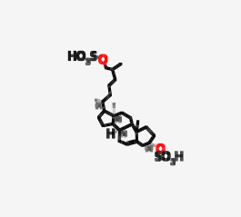 CC(CCC[C@@H](C)C1CCC2[C@@H]3CC=C4C[C@@H](OS(=O)(=O)O)CCC4(C)C3CC[C@@]21C)COS(=O)(=O)O